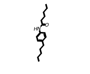 CCCCCC(=O)Nc1ccc(CCCCC)cc1